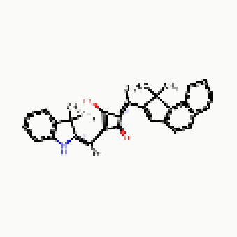 CC/C(C1=C(O)/C(=C(\C)C2=Cc3ccc4ccccc4c3C2(C)C)C1=O)=C1\Nc2ccccc2C1(C)C